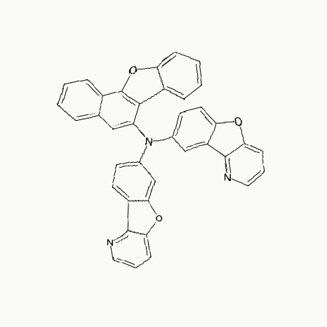 c1ccc2c(c1)cc(N(c1ccc3c(c1)oc1cccnc13)c1ccc3oc4cccnc4c3c1)c1c3ccccc3oc21